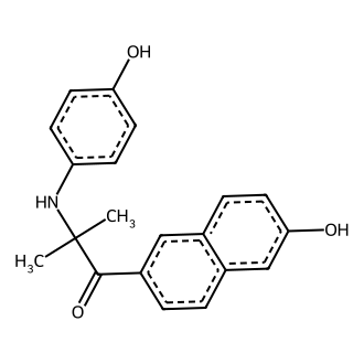 CC(C)(Nc1ccc(O)cc1)C(=O)c1ccc2cc(O)ccc2c1